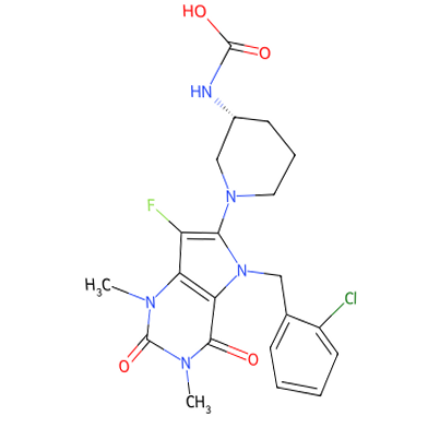 Cn1c(=O)c2c(c(F)c(N3CCC[C@@H](NC(=O)O)C3)n2Cc2ccccc2Cl)n(C)c1=O